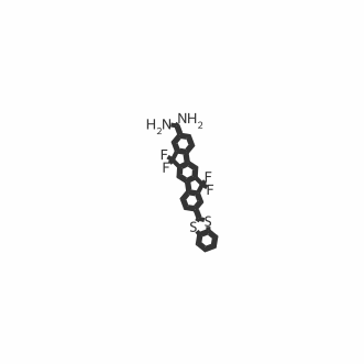 NC(N)=c1ccc2c(c1)C(F)(F)c1cc3c(cc1=2)C(F)(F)c1cc(=C2Sc4ccccc4S2)ccc1=3